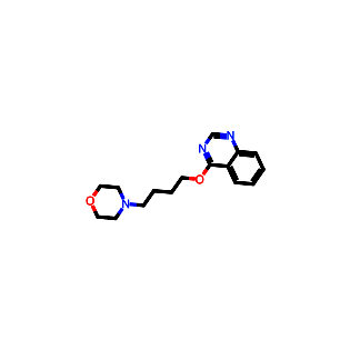 c1ccc2c(OCCCCN3CCOCC3)ncnc2c1